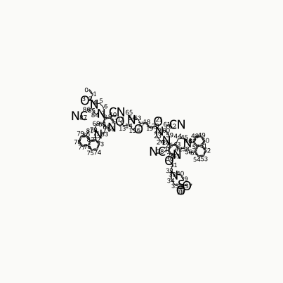 C=CC(=O)N1CCN(c2c(C#N)c(OCC3COC(/C=C/C(=O)N4CCN(c5c(C#N)c(OCCN6CCS(=O)(=O)CC6)nc6c5CCN(c5cccc7cccc(C)c57)C6)C[C@@H]4CC#N)CN3C)nc3c2CCN(c2cccc4cccc(C)c24)C3)C[C@@H]1CC#N